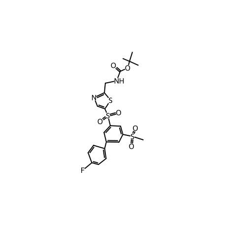 CC(C)(C)OC(=O)NCc1ncc(S(=O)(=O)c2cc(-c3ccc(F)cc3)cc(S(C)(=O)=O)c2)s1